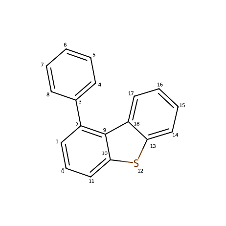 [c]1cc(-c2ccccc2)c2c(c1)sc1ccccc12